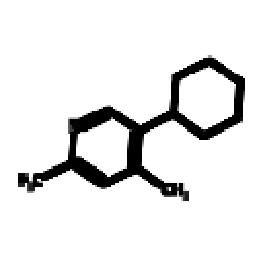 Cc1cc(C(F)(F)F)ncc1C1CCCCC1